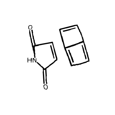 O=C1C=CC(=O)N1.c1cc2ccc1-2